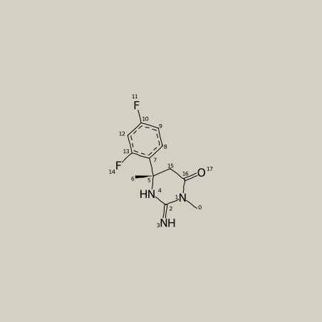 CN1C(=N)N[C@](C)(c2ccc(F)cc2F)CC1=O